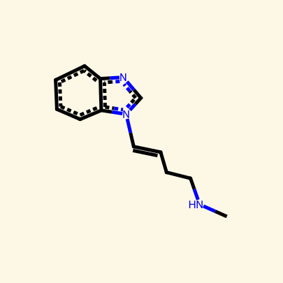 CNCC/C=C/n1cnc2ccccc21